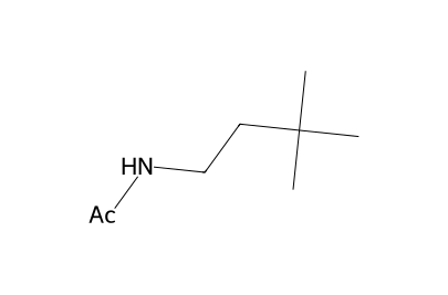 [CH2]C(=O)NCCC(C)(C)C